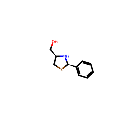 OC[C@@H]1CS[C@H](c2ccccc2)N1